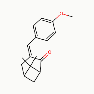 COc1ccc(C=C2CC3CC(C2=O)C3(C)C)cc1